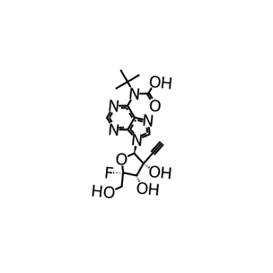 C#C[C@]1(O)[C@H](n2cnc3c(N(C(=O)O)C(C)(C)C)ncnc32)O[C@](F)(CO)[C@H]1O